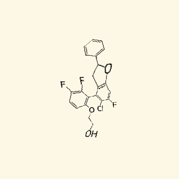 OCCOc1ccc(F)c(F)c1-c1c(Cl)c(F)cc2c1CC(c1ccccc1)O2